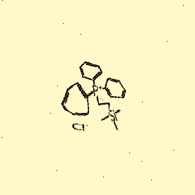 C[Si](C)(C)CC[P+](c1ccccc1)(c1ccccc1)c1ccccc1.[Cl-]